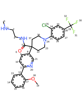 CNCCNC(=O)C1(c2ccc(-c3ccccc3OC)nc2)CCN(c2ccc(C(F)(F)F)cc2Cl)CC1